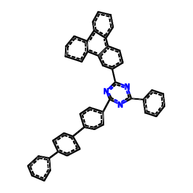 c1ccc(-c2ccc(-c3ccc(-c4nc(-c5ccccc5)nc(-c5ccc6c7ccccc7c7ccccc7c6c5)n4)cc3)cc2)cc1